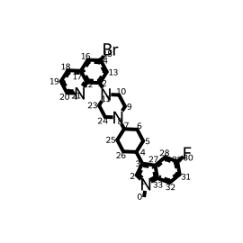 Cn1cc(C2CCC(N3CCN(c4cc(Br)cc5cccnc45)CC3)CC2)c2cc(F)ccc21